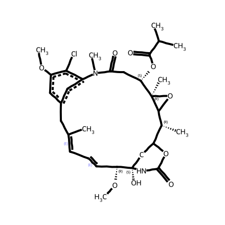 COc1cc2cc(c1Cl)N(C)C(=O)C[C@H](OC(=O)C(C)C)[C@@]1(C)OC1[C@H](C)C1C[C@@](O)(NC(=O)O1)[C@H](OC)/C=C/C=C(\C)C2